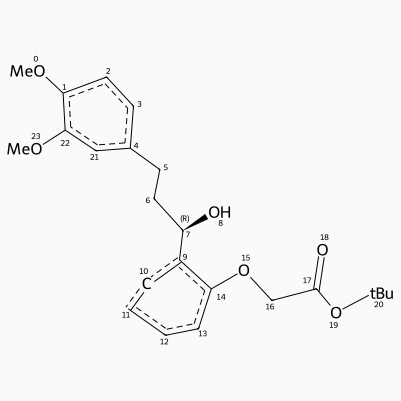 COc1ccc(CC[C@@H](O)c2ccccc2OCC(=O)OC(C)(C)C)cc1OC